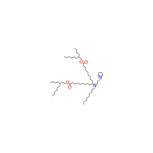 CCCCCCCCCN(CCCN1CCCC1)C(CCCCCCCCC(=O)OCCC(CCCC)CCCCCC)CCCCCCCCC(=O)OCC(CCCC)CCCCCC